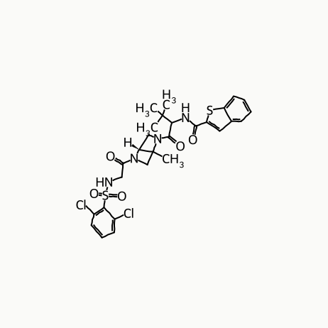 CC(C)(C)C(NC(=O)c1cc2ccccc2s1)C(=O)N1C[C@H]2N(C(=O)CNS(=O)(=O)c3c(Cl)cccc3Cl)CC21C